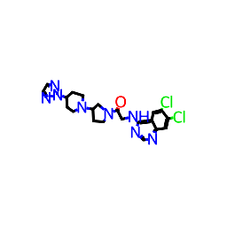 O=C(CNc1ncnc2cc(Cl)c(Cl)cc12)N1CCC(N2CCC(n3nccn3)CC2)C1